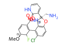 CO[C@H]1C=CC(C(N)=O)=C(c2c(Cl)ccc3c2[C@H](O)[C@@](CN)(c2ccc[nH]c2=O)O3)C1F